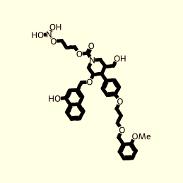 COc1ccccc1COCCCOc1ccc(C2C(CO)CN(C(=O)OCCCON(O)O)CC2OCc2cc(O)c3ccccc3c2)cc1